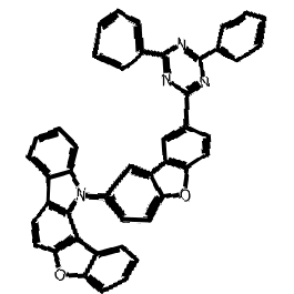 c1ccc(-c2nc(-c3ccccc3)nc(-c3ccc4oc5ccc(-n6c7ccccc7c7ccc8oc9ccccc9c8c76)cc5c4c3)n2)cc1